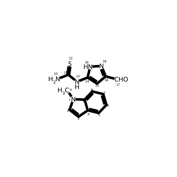 Cn1ccc2ccccc21.NC(=S)Nc1cc(C=O)n[nH]1